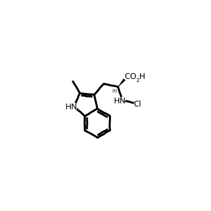 Cc1[nH]c2ccccc2c1C[C@H](NCl)C(=O)O